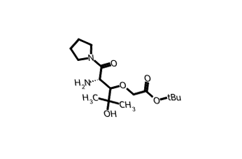 CC(C)(C)OC(=O)COC([C@H](N)C(=O)N1CCCC1)C(C)(C)O